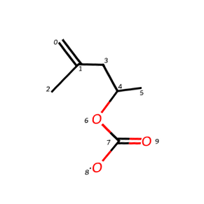 C=C(C)CC(C)OC([O])=O